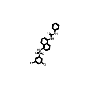 O=C(Nc1ccccc1)Nc1cccc2c(NS(=O)(=O)c3cc(Cl)cc(Cl)c3)cccc12